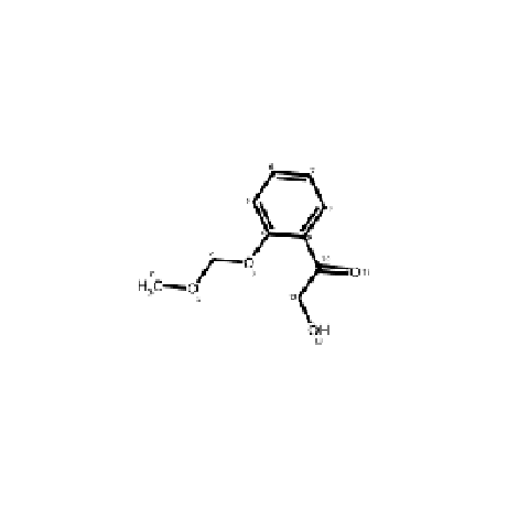 COCOc1ccccc1C(=O)CO